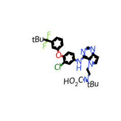 CC(C)(C)N(CCn1ccc2ncnc(Nc3ccc(Oc4cccc(C(F)(F)C(C)(C)C)c4)c(Cl)c3)c21)C(=O)O